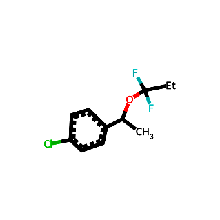 CCC(F)(F)OC(C)c1ccc(Cl)cc1